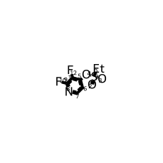 CCS(=O)(=O)Oc1ccnc(F)c1F